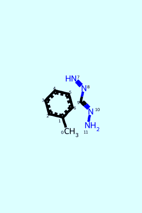 Cc1ccccc1.N=NC=NN